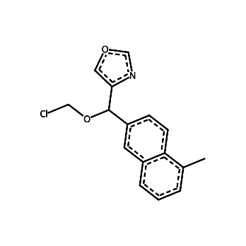 Cc1cccc2cc(C(OCCl)c3cocn3)ccc12